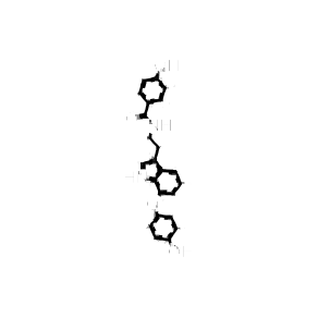 O=C(NCCc1c[nH]c2c(Oc3ccc(O)cc3)cccc12)c1ccc(O)cc1